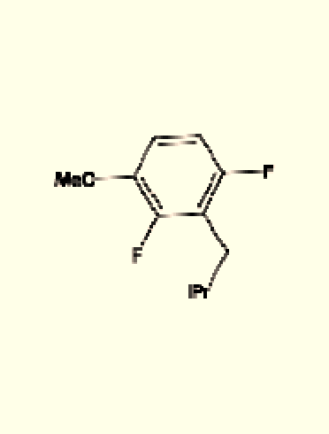 COc1ccc(F)c(CC(C)C)c1F